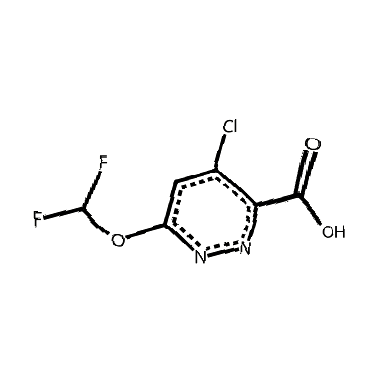 O=C(O)c1nnc(OC(F)F)cc1Cl